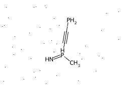 C[PH](=N)C#CP